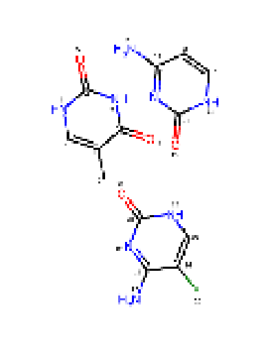 Cc1c[nH]c(=O)[nH]c1=O.Nc1cc[nH]c(=O)n1.Nc1nc(=O)[nH]cc1F